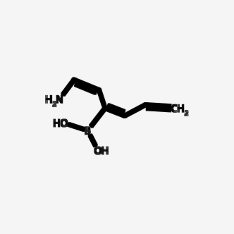 C=C/C=C(\C=C/N)B(O)O